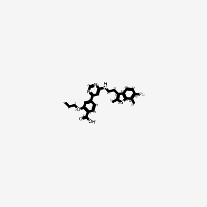 CCCOc1cc(-c2cc(NCCc3c(C)sc4c(C)c(F)ccc34)ncn2)ccc1C(=O)O